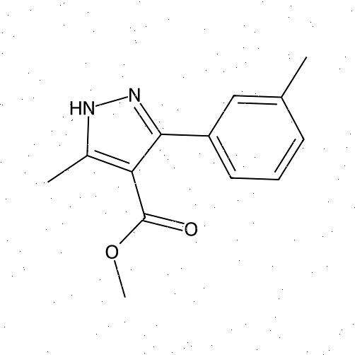 COC(=O)c1c(-c2cccc(C)c2)n[nH]c1C